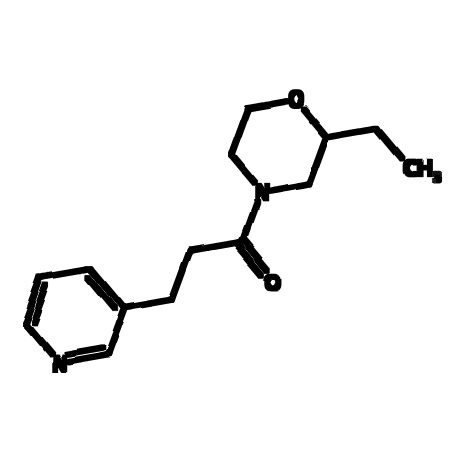 CCC1CN(C(=O)CCc2cccnc2)CCO1